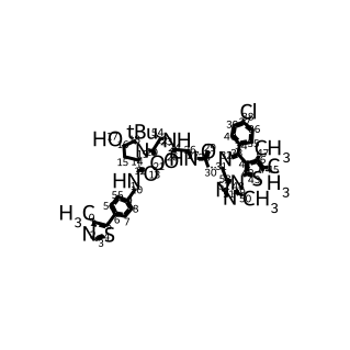 Cc1ncsc1-c1ccc(CNC(=O)[C@@H]2C[C@@H](O)CN2C(=O)[C@@H](NC(=O)CNC(=O)C[C@@H]2N=C(c3ccc(Cl)cc3)c3c(sc(C)c3C)-n3c(C)nnc32)C(C)(C)C)cc1